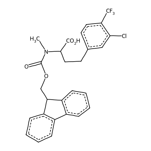 CN(C(=O)OCC1c2ccccc2-c2ccccc21)C(CCc1ccc(C(F)(F)F)c(Cl)c1)C(=O)O